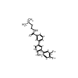 CN(C)CCNC(=O)c1cccc(-c2cnc(N)c(-c3ccc(F)c(F)c3)c2)c1